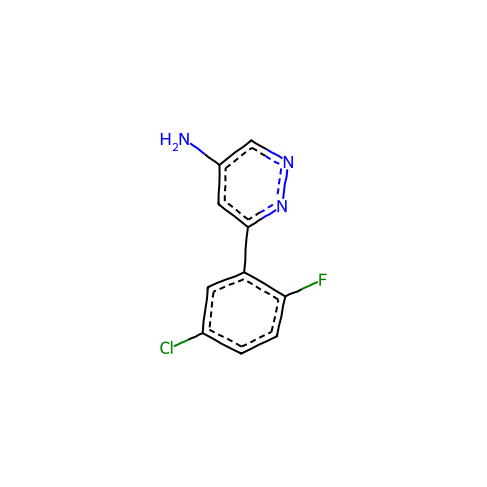 Nc1cnnc(-c2cc(Cl)ccc2F)c1